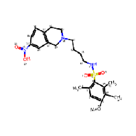 COc1cc(C)c(S(=O)(=O)NCCCCN2CCc3ccc([N+](=O)O)cc3C2)c(C)c1C